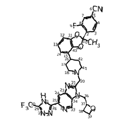 CC1(c2ccc(C#N)cc2F)Oc2cccc(C3CCN(Cc4nc5cc(-c6nnc(C(F)(F)F)[nH]6)ncc5n4C[C@@H]4CCO4)CC3)c2O1